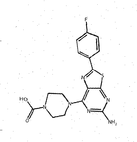 Nc1nc(N2CCN(C(=O)O)CC2)c2nc(-c3ccc(F)cc3)sc2n1